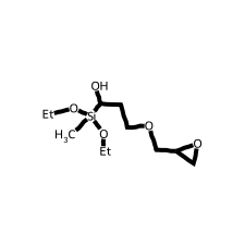 CCO[Si](C)(OCC)C(O)CCOCC1CO1